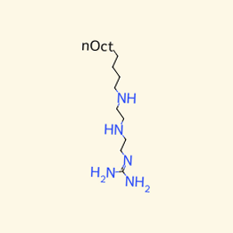 CCCCCCCCCCCCNCCNCCN=C(N)N